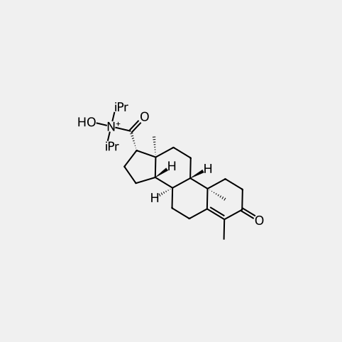 CC1=C2CC[C@H]3[C@@H]4CC[C@H](C(=O)[N+](O)(C(C)C)C(C)C)[C@@]4(C)CC[C@@H]3[C@@]2(C)CCC1=O